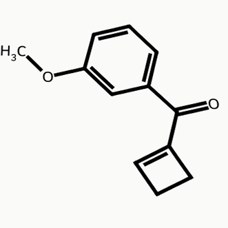 COc1cccc(C(=O)C2=CCC2)c1